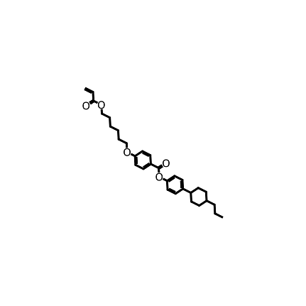 C=CC(=O)OCCCCCCOc1ccc(C(=O)Oc2ccc(C3CCC(CCC)CC3)cc2)cc1